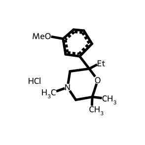 CCC1(c2cccc(OC)c2)CN(C)CC(C)(C)O1.Cl